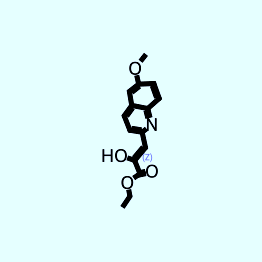 CCOC(=O)/C(O)=C/c1ccc2cc(OC)ccc2n1